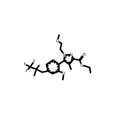 CCOC(=O)c1nn(CCOC)c(-c2ccc(CC(C)(C)C(F)(F)F)cc2OC)c1C